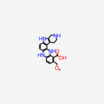 COCc1ccc2c(c1C(=O)O)Nc1c(ccc3[nH]c4c(c13)CCNC4)N2